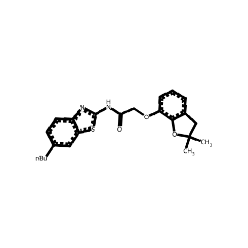 CCCCc1ccc2nc(NC(=O)COc3cccc4c3OC(C)(C)C4)sc2c1